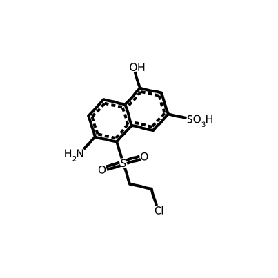 Nc1ccc2c(O)cc(S(=O)(=O)O)cc2c1S(=O)(=O)CCCl